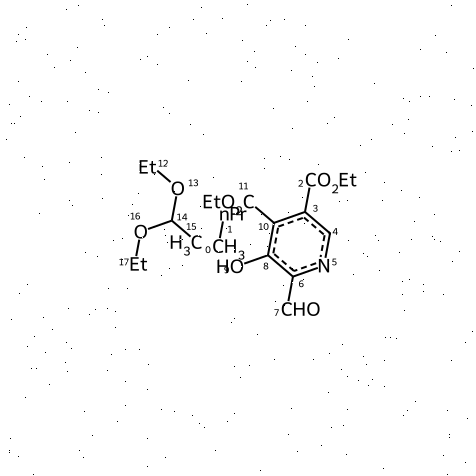 CCCC.CCOC(=O)c1cnc(C=O)c(O)c1C(=O)OCC.CCOC(C)OCC